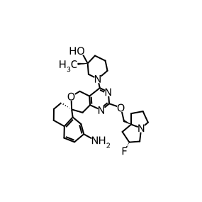 C[C@@]1(O)CCCN(c2nc(OC[C@@]34CCCN3C[C@H](F)C4)nc3c2CO[C@@]2(CCCc4ccc(N)cc42)C3)C1